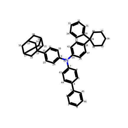 c1ccc(-c2ccc(N(c3ccc(C45CC6CC(CC(C6)C4)C5)cc3)c3ccc(C4(c5ccccc5)CCCCC4)cc3)cc2)cc1